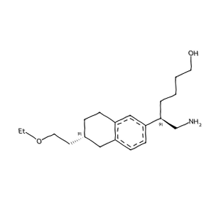 CCOCC[C@@H]1CCc2cc([C@H](CN)CCCCO)ccc2C1